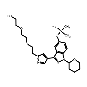 CC(C)(C)[Si](C)(C)Oc1ccc2c(c1)c(-c1cnn(CCOCCOCCO)c1)nn2C1CCCCO1